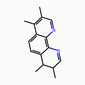 Cc1cnc2c3c(ccc2c1C)C(C)C(C)C=N3